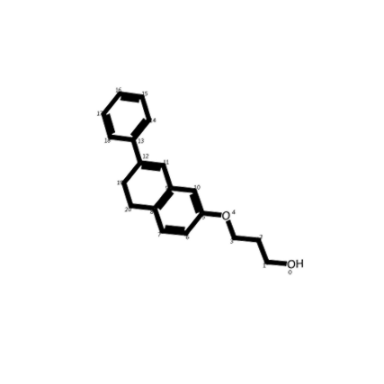 OCCCOc1ccc2c(c1)C=C(c1ccccc1)CC2